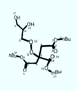 CCCCOC(=O)CC(CC(=O)OCCCC)(OOCC(O)CO)C(=O)OCCCC